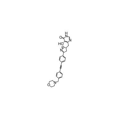 O=c1[nH]cnc(CC2CC(c3ccc(C#Cc4ccc(CN5CCOCC5)cc4)cc3)=NO2)c1O